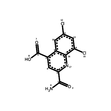 NC(=O)c1cc(C(=O)O)c2cc(Cl)cc(Cl)c2n1